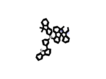 C/C=C1\C(=C/C)C2(c3ccccc31)c1ccccc1-c1c(N(c3cccc(-c4cccc5c4sc4ccccc45)c3)c3ccc4c(c3)C(C)(C)c3ccccc3-4)cccc12